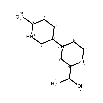 CC(O)C1CN(C2CCC([N+](=O)[O-])NC2)CCO1